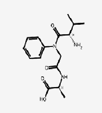 CC(C)[C@H](N)C(=O)N(CC(=O)N[C@@H](C)C(=O)O)c1ccccc1